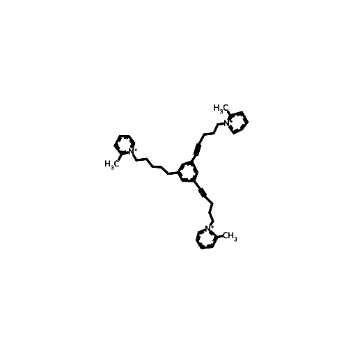 Cc1cccc[n+]1CCCC#Cc1cc(C#CCCC[n+]2ccccc2C)cc(CCCCC[n+]2ccccc2C)c1